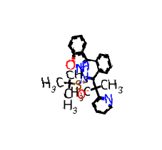 CC(C)(c1ccccn1)C(N[S@@+]([O-])C(C)(C)C)c1ccccc1-c1noc2ccccc12